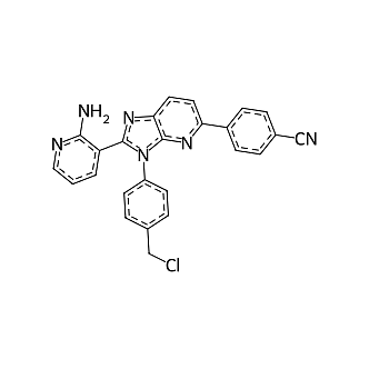 N#Cc1ccc(-c2ccc3nc(-c4cccnc4N)n(-c4ccc(CCl)cc4)c3n2)cc1